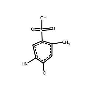 Cc1cc(Cl)c([NH])cc1S(=O)(=O)O